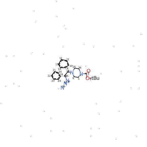 CC(C)(C)OC(=O)N1CCN([C@@H](c2ccccc2)[C@H](N=[N+]=[N-])c2ccccc2)CC1